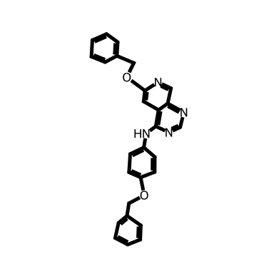 c1ccc(COc2ccc(Nc3ncnc4cnc(OCc5ccccc5)cc34)cc2)cc1